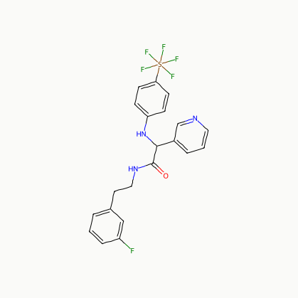 O=C(NCCc1cccc(F)c1)C(Nc1ccc(S(F)(F)(F)(F)F)cc1)c1cccnc1